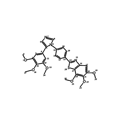 COc1cc(-c2cncn2-c2ccc(-c3nc4cc(OC)c(OC)c(OC)c4s3)cc2)cc(OC)c1OC